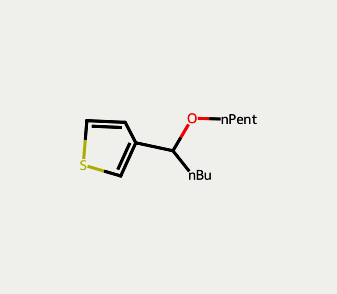 [CH2]CCCCOC(CCCC)c1ccsc1